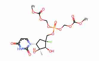 CC(C)OC(=O)OCOP(=O)(OCOC(=O)OC(C)C)OC[C@@]1(F)C[C@@H](n2ccc(=O)[nH]c2=O)[C@](C)(O)[C@@H]1O